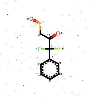 O=PCC(=O)C(F)(F)c1ccccc1